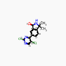 CC1(C)NC(=O)c2cc(-c3nc(Cl)ncc3Cl)ccc21